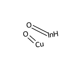 [O]=[Cu].[O]=[InH]